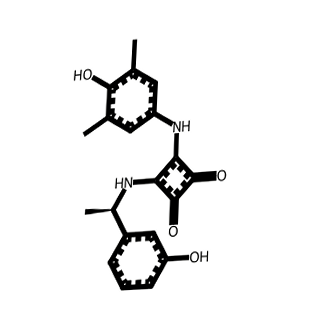 Cc1cc(Nc2c(N[C@H](C)c3cccc(O)c3)c(=O)c2=O)cc(C)c1O